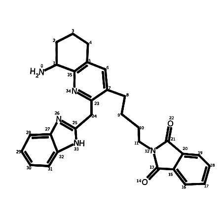 NC1CCCc2cc(CCCCN3C(=O)c4ccccc4C3=O)c(Cc3nc4ccccc4[nH]3)nc21